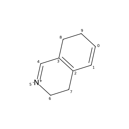 C1=CC2=C(C=[N+]CC2)CC1